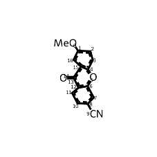 COc1ccc2oc3cc(C#N)ccc3c(=O)c2c1